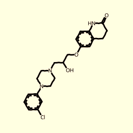 O=C1CCc2cc(OCC(O)CN3CCN(c4cccc(Cl)c4)CC3)ccc2N1